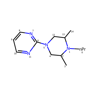 [CH2]CCN1C(C)CN(c2ncccn2)CC1C